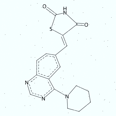 O=C1NC(=O)/C(=C/c2ccc3ncnc(N4CCCCC4)c3c2)S1